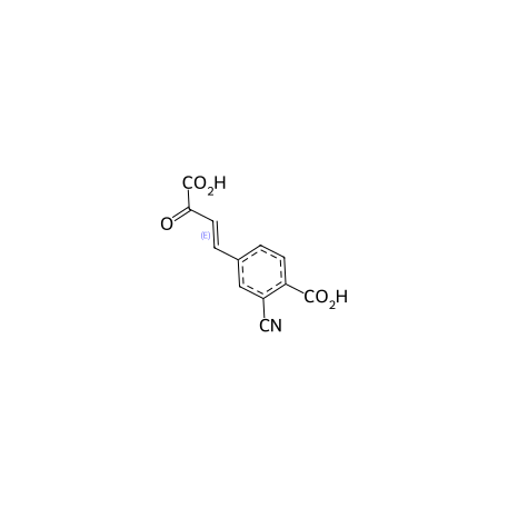 N#Cc1cc(/C=C/C(=O)C(=O)O)ccc1C(=O)O